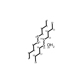 CCCCSSCCCC.CCCCSSCCCC.O